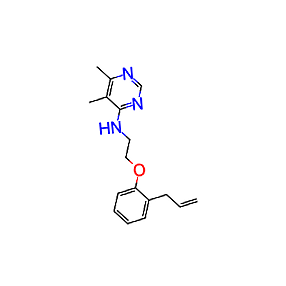 C=CCc1ccccc1OCCNc1ncnc(C)c1C